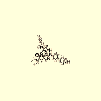 CCN(CC)c1cc2cnc(Nc3ccc(C4=CCNCC4)cc3)nc2n(Cc2sccc2[S+]([O-])CCOC)c1=O